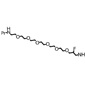 CC(=O)NCC(F)COCCOCCOCCOCCOCCOCCNC(C)C